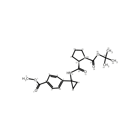 COC(=O)c1ccc(C2(NC(=O)[C@H]3CCCN3C(=O)OC(C)(C)C)CC2)cc1